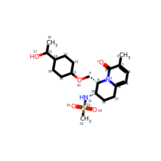 Cc1ccc2n(c1=O)[C@@H](COC1CCC(C(C)O)CC1)[C@@H](NS(C)(=O)=O)CC2